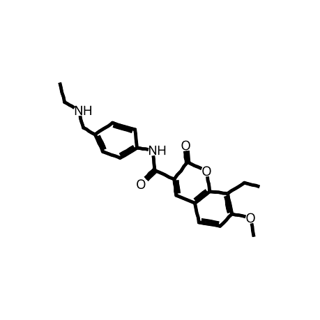 CCNCc1ccc(NC(=O)c2cc3ccc(OC)c(CC)c3oc2=O)cc1